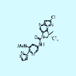 CNc1cc(NC(=O)N2C[C@@](C)(C(F)(F)F)c3c2cnc2cc(Cl)nn32)cnc1-n1ccnn1